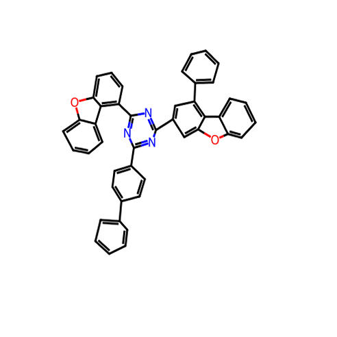 c1ccc(-c2ccc(-c3nc(-c4cc(-c5ccccc5)c5c(c4)oc4ccccc45)nc(-c4cccc5oc6ccccc6c45)n3)cc2)cc1